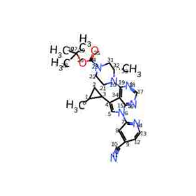 CC1CC1c1cn(-c2cc(C#N)ccn2)c2ncnc(N3CCN(C(=O)OC(C)(C)C)C[C@@H]3C)c12